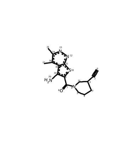 C#CC1CCCN(C(=O)c2sc3nnc(C)c(C)c3c2N)C1